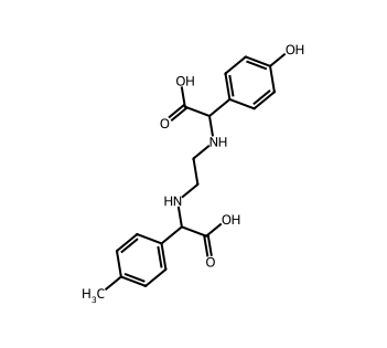 Cc1ccc(C(NCCNC(C(=O)O)c2ccc(O)cc2)C(=O)O)cc1